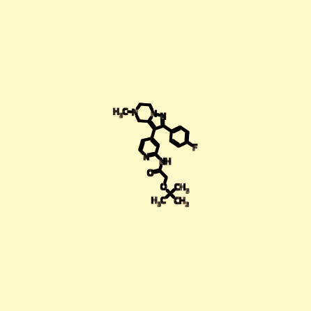 CN1CCn2nc(-c3ccc(F)cc3)c(-c3ccnc(NC(=O)COC(C)(C)C)c3)c2C1